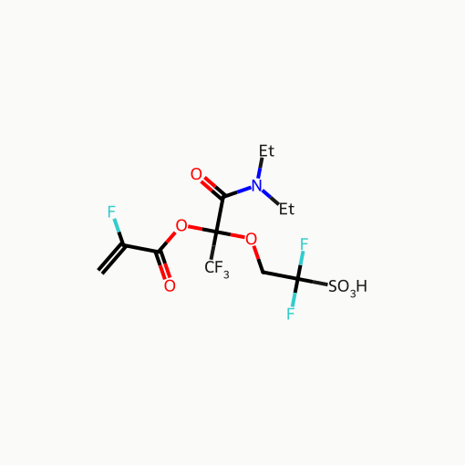 C=C(F)C(=O)OC(OCC(F)(F)S(=O)(=O)O)(C(=O)N(CC)CC)C(F)(F)F